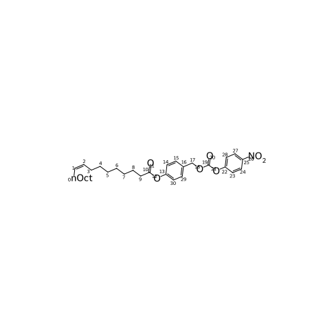 CCCCCCCC/C=C\CCCCCCCC(=O)Oc1ccc(COC(=O)Oc2ccc([N+](=O)[O-])cc2)cc1